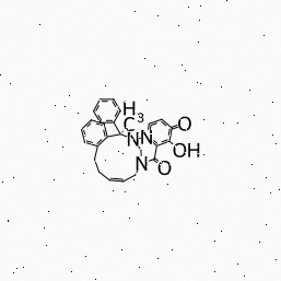 C[C@@]1(c2ccccc2)c2ccccc2CC/C=C\CN2CN1n1ccc(=O)c(O)c1C2=O